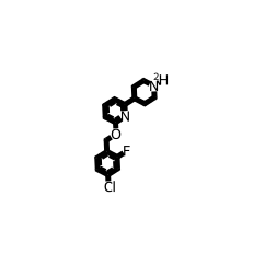 [2H]N1CCC(c2cccc(OCc3ccc(Cl)cc3F)n2)CC1